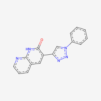 O=c1[nH]c2ncccc2cc1-c1cn(-c2ccccc2)nn1